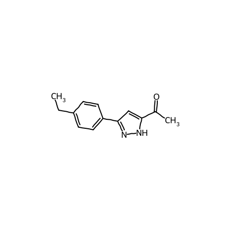 CCc1ccc(-c2cc(C(C)=O)[nH]n2)cc1